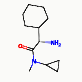 CN(C(=O)[C@@H](N)C1CCCCC1)C1CC1